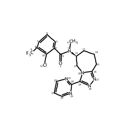 CN(C(=O)c1cccc(C(F)(F)F)c1Cl)[C@H]1CCCc2nnc(-c3ncccn3)n2C1